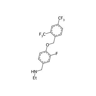 CCNCc1ccc(OCc2ccc(C(F)(F)F)cc2C(F)(F)F)c(F)c1